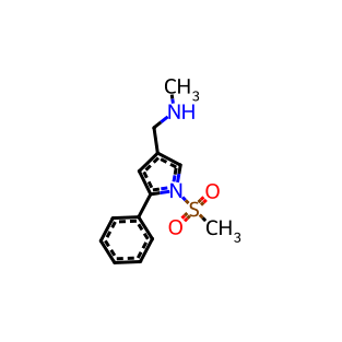 CNCc1cc(-c2ccccc2)n(S(C)(=O)=O)c1